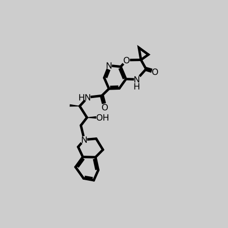 C[C@@H](NC(=O)c1cnc2c(c1)NC(=O)C1(CC1)O2)[C@@H](O)CN1CCc2ccccc2C1